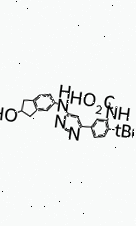 CC(C)(C)c1ccc(-c2cc(Nc3ccc4c(c3)CC(O)C4)ncn2)cc1NC(=O)O